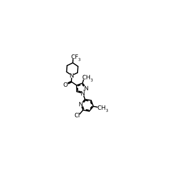 Cc1cc(Cl)nc(-n2cc(C(=O)N3CCC(C(F)(F)F)CC3)c(C)n2)c1